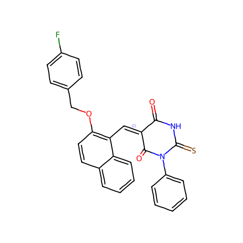 O=C1NC(=S)N(c2ccccc2)C(=O)/C1=C\c1c(OCc2ccc(F)cc2)ccc2ccccc12